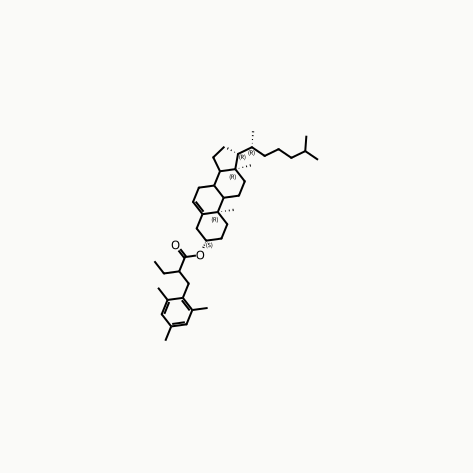 CCC(Cc1c(C)cc(C)cc1C)C(=O)O[C@H]1CC[C@@]2(C)C(=CCC3C2CC[C@@]2(C)C3CC[C@@H]2[C@H](C)CCCC(C)C)C1